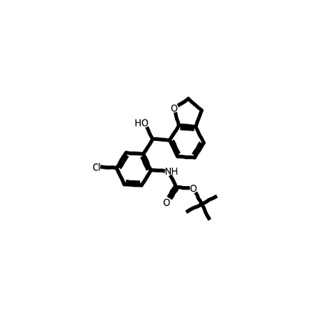 CC(C)(C)OC(=O)Nc1ccc(Cl)cc1C(O)c1cccc2c1OCC2